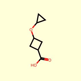 O=C(O)C1CC(OC2CC2)C1